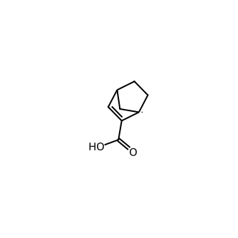 O=C(O)C1=CC2CC[C]1C2